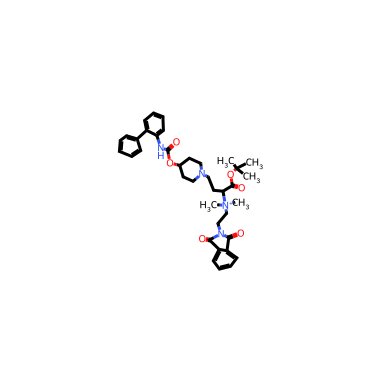 CC(C)(C)OC(=O)C(CCN1CCC(OC(=O)Nc2ccccc2-c2ccccc2)CC1)[N+](C)(C)CCN1C(=O)c2ccccc2C1=O